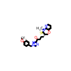 CN1C(=S)[C@@H](CCCC(=O)c2ncn(Cc3ccc(OC(F)(F)F)cc3)n2)COc2cccnc21